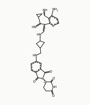 N=Cc1c(N)ccnc1/C(=C/NC1CC(CNc2ccc3c(c2)C(=O)N([C@@H]2CCC(=O)NC2=O)C3=O)C1)C(=N)C1CC1